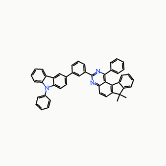 CC1(C)c2ccccc2-c2c1ccc1nc(-c3cccc(-c4ccc5c(c4)c4ccccc4n5-c4ccccc4)c3)nc(-c3ccccc3)c21